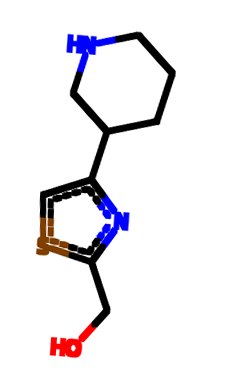 OCc1nc(C2CCCNC2)cs1